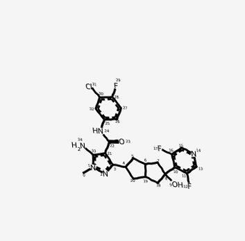 Cn1nc(C2CC3CC(O)(c4c(F)cncc4F)CC3C2)c(C(=O)Nc2ccc(F)c(Cl)c2)c1N